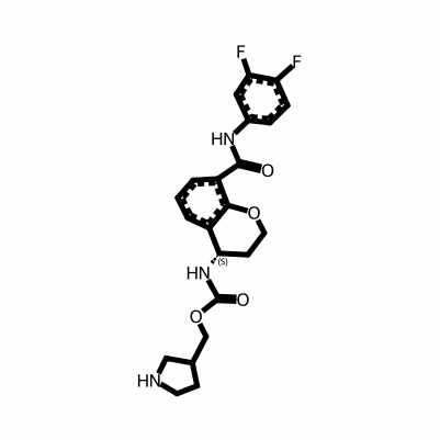 O=C(N[C@H]1CCOc2c(C(=O)Nc3ccc(F)c(F)c3)cccc21)OCC1CCNC1